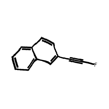 FC#Cc1c[c]c2ccccc2c1